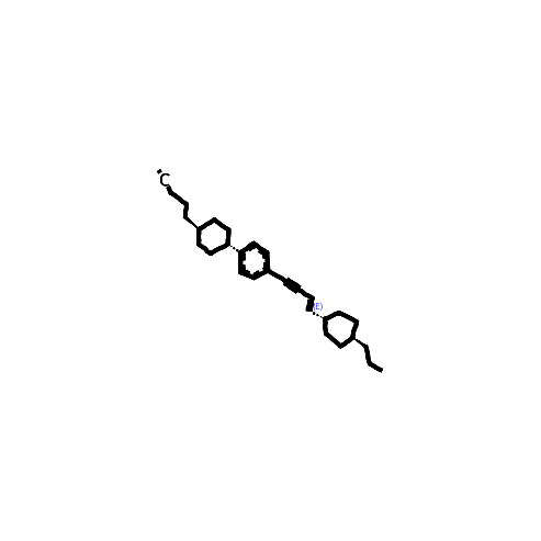 CCCCC[C@H]1CC[C@H](c2ccc(C#C/C=C/[C@H]3CC[C@H](CCC)CC3)cc2)CC1